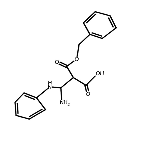 NC(Nc1ccccc1)C(C(=O)O)C(=O)OCc1ccccc1